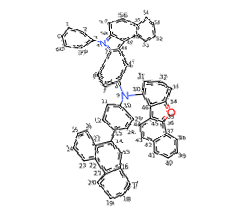 c1ccc(-n2c3ccc(N(c4ccc(-c5cc6ccccc6c6ccccc56)cc4)c4cccc5oc6c7ccccc7ccc6c45)cc3c3c4ccccc4ccc32)cc1